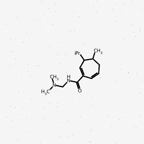 CC(C)C1C=C(C(=O)NCN(C)C)C=CCC1C